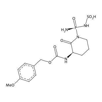 COc1ccc(COC(=O)N[C@@H]2CCCN([P@](N)(=O)NS(=O)(=O)O)C2=O)cc1